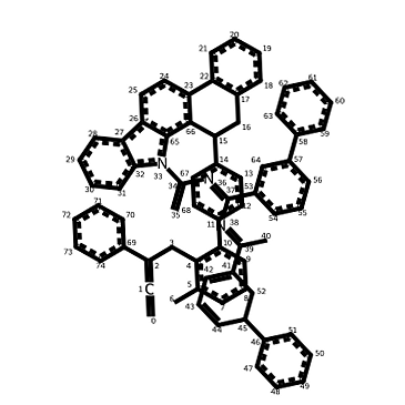 C=C=C(Cc1c(C)cccc1-c1ccc(C2Cc3ccccc3-c3ccc4c5ccccc5n(C(=C)/N=C(\N=C(/C)C5=CC=CC(c6ccccc6)C5)c5cccc(-c6ccccc6)c5)c4c32)cc1)c1ccccc1